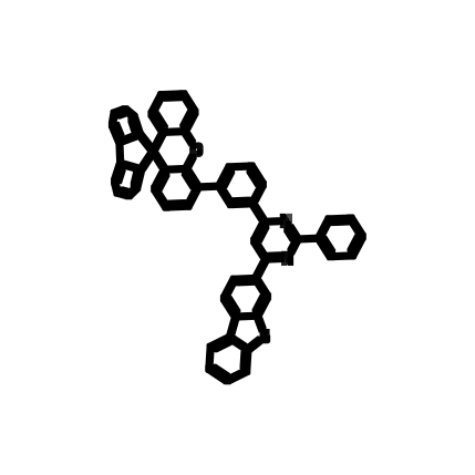 c1ccc(-c2nc(-c3cccc(-c4cccc5c4Oc4ccccc4C54c5ccccc5-c5ccccc54)c3)cc(-c3ccc4c(c3)sc3ccccc34)n2)cc1